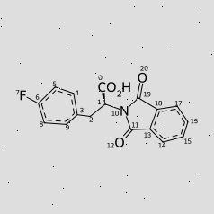 O=C(O)[C@H](Cc1ccc(F)cc1)N1C(=O)c2ccccc2C1=O